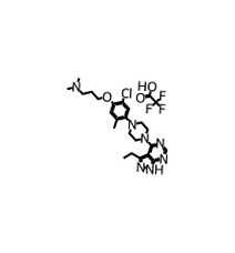 CCc1n[nH]c2ncnc(N3CCN(c4cc(Cl)c(OCCCN(C)C)cc4C)CC3)c12.O=C(O)C(F)(F)F